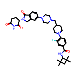 CC1(C)CC(C)(C)C1NC(=O)c1ccc(N2CCC(CN3CCN(c4ccc5c(c4)CN([C@H]4CCC(=O)NC4=O)C5=O)CC3)CC2)c(F)c1